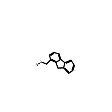 CC(C)OCc1cccc2c1Cc1ccccc1-2